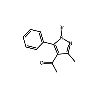 CC(=O)c1c(C)nn(Br)c1-c1ccccc1